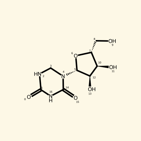 O=C1NCN([C@@H]2O[C@H](CO)[C@@H](O)[C@H]2O)C(=O)N1